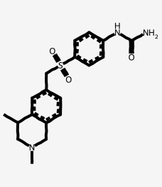 CC1CN(C)Cc2ccc(CS(=O)(=O)c3ccc(NC(N)=O)cc3)cc21